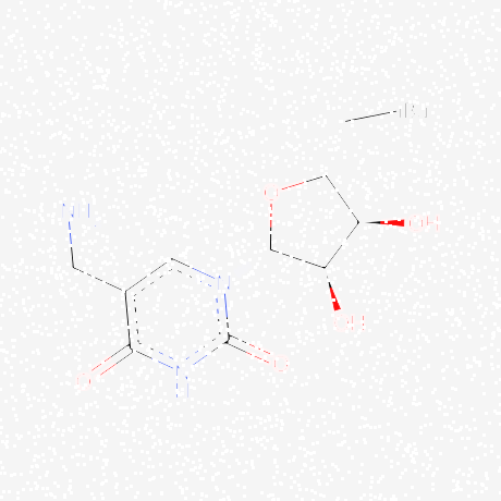 CCC(C)C[C@H]1O[C@@H](n2cc(CN)c(=O)[nH]c2=O)[C@H](O)[C@@H]1O